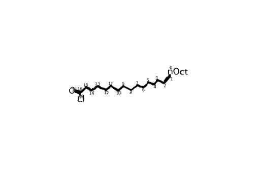 CCCCCCCC/C=C\CCCCCCCCCCCCCC(=O)Cl